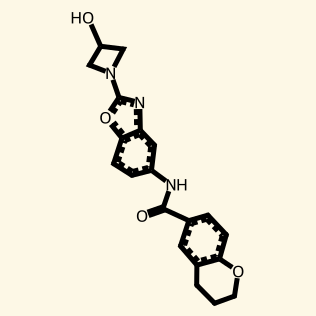 O=C(Nc1ccc2oc(N3CC(O)C3)nc2c1)c1ccc2c(c1)CCCO2